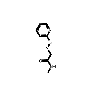 CNC(=O)CSSc1ccccn1